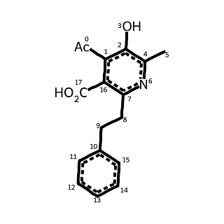 CC(=O)c1c(O)c(C)nc(CCc2ccccc2)c1C(=O)O